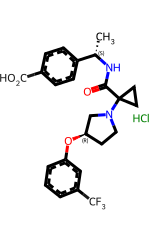 C[C@H](NC(=O)C1(N2CC[C@@H](Oc3cccc(C(F)(F)F)c3)C2)CC1)c1ccc(C(=O)O)cc1.Cl